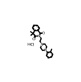 Cc1ccccc1N1CCN(CCN2C(=O)c3ccccc3C(C)(C)C2=O)CC1.Cl